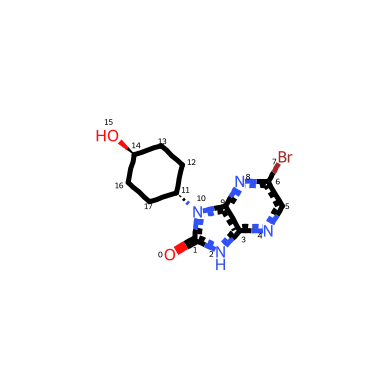 O=c1[nH]c2ncc(Br)nc2n1[C@H]1CC[C@H](O)CC1